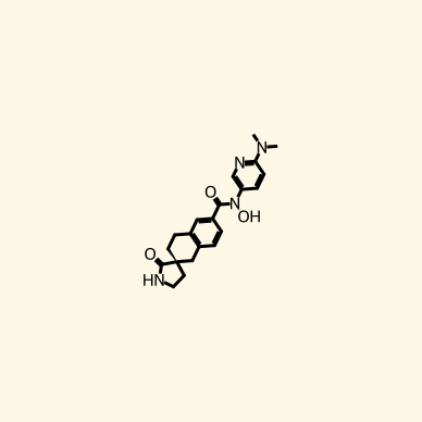 CN(C)c1ccc(N(O)C(=O)c2ccc3c(c2)CC[C@]2(CCNC2=O)C3)cn1